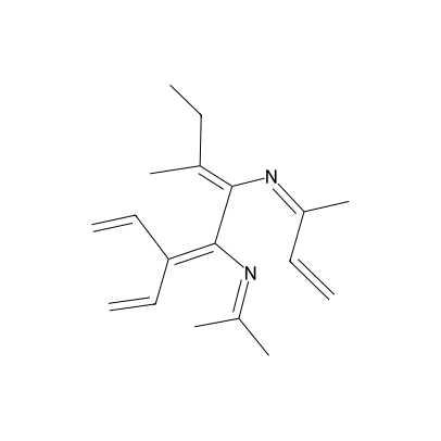 C=CC(C=C)=C(N=C(C)C)C(/N=C(/C)C=C)=C(C)CC